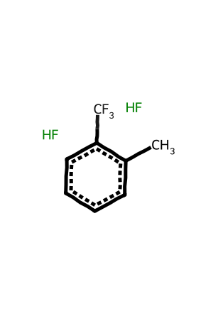 Cc1ccccc1C(F)(F)F.F.F